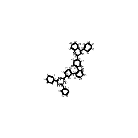 c1ccc(-c2nc(-c3ccccc3)nc(-c3cccc(-c4cccc5sc6cc(-c7cc(-c8ccccc8)c8ccccc8n7)ccc6c45)c3)n2)cc1